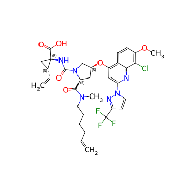 C=CCCCCN(C)C(=O)[C@@H]1C[C@H](Oc2cc(-n3ccc(C(F)(F)F)n3)nc3c(Cl)c(OC)ccc23)CN1C(=O)N[C@]1(C(=O)O)C[C@H]1C=C